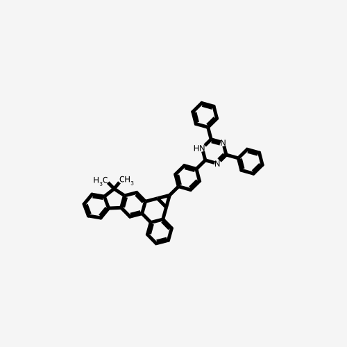 CC1(C)c2ccccc2-c2cc3c(cc21)C1C(c2ccc(C4N=C(c5ccccc5)N=C(c5ccccc5)N4)cc2)C1c1ccccc1-3